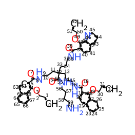 C=CCOc1c(C(=O)NCCCC(CCCNC(=O)c2ccc3ccccc3c2OCC=C)(CCCNC(=O)c2ccc3cccnc3c2OCC=C)C(=O)NCCCCN)ccc2ccccc12